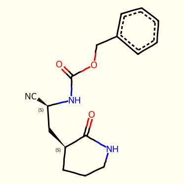 N#C[C@H](C[C@@H]1CCCNC1=O)NC(=O)OCc1ccccc1